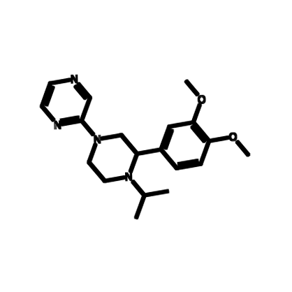 COc1ccc(C2CN(c3cnccn3)CCN2C(C)C)cc1OC